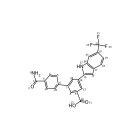 NC(=O)c1ccc(-c2cc(C(=O)O)cc(-c3cc4ccc(C(F)(F)F)cc4[nH]3)c2)cc1